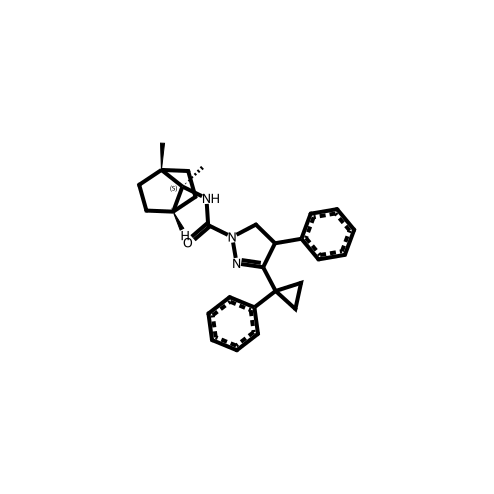 C[C@]1(NC(=O)N2CC(c3ccccc3)C(C3(c4ccccc4)CC3)=N2)[C@H]2CC[C@]1(C)CC2